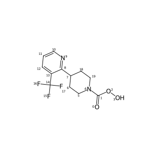 O=C(OO)N1CCC(c2ncccc2C(F)(F)F)CC1